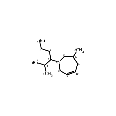 CCC(C)CCC(C(C)C(C)CC)N1CC=CCC(C)C1